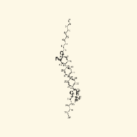 CCCCCCCCCCOc1ccc(-c2ccc(-c3ccc(C(=O)OC(CCCCCC)C(F)(F)F)cc3)cc2)cc1F